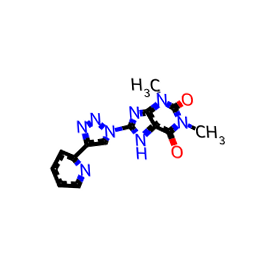 Cn1c(=O)c2[nH]c(-n3cc(-c4ccccn4)nn3)nc2n(C)c1=O